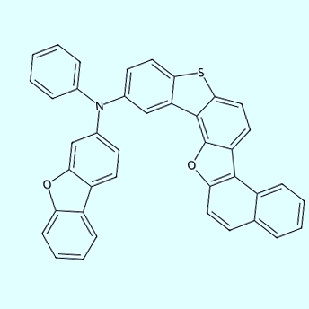 c1ccc(N(c2ccc3c(c2)oc2ccccc23)c2ccc3sc4ccc5c(oc6ccc7ccccc7c65)c4c3c2)cc1